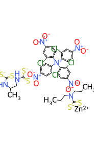 CC(CNC(=S)[S-])NC(=S)[S-].CCCN(CCC)C(=S)[S-].O=[N+]([O-])c1ccc([N+](c2ccc([N+](=O)[O-])cc2Cl)(c2ccc([N+](=O)[O-])cc2Cl)c2ccc([N+](=O)[O-])cc2Cl)c(Cl)c1.[Zn+2]